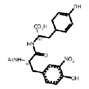 CC(=O)N[C@@H](Cc1ccc(O)c([N+](=O)[O-])c1)C(=O)N[C@@H](CC1C=CC(O)=CC1)C(=O)O